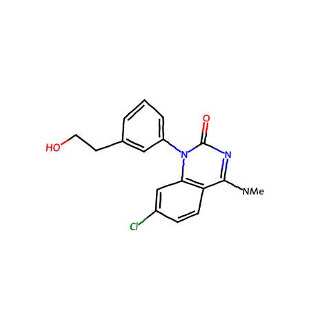 CNc1nc(=O)n(-c2cccc(CCO)c2)c2cc(Cl)ccc12